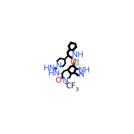 N=C(N[C@@H]1Cc2cc(Cl)c3[nH]ncc3c2CN(CC(F)(F)F)C1=O)N1CCC(c2cc3ccccc3[nH]c2=O)CC1